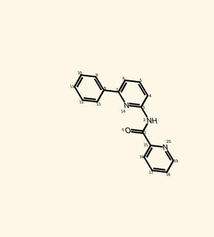 O=C(Nc1cccc(-c2ccccc2)n1)c1ccccn1